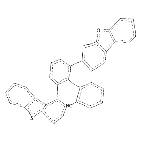 N#Cc1ccccc1-c1c(-c2ccc3c(c2)oc2ccccc23)cccc1-c1cccc2sc3ccccc3c12